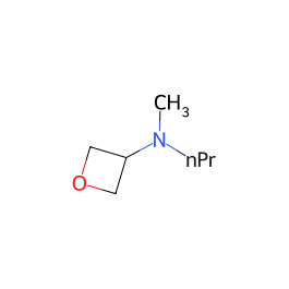 CCCN(C)C1COC1